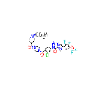 Cn1c(-c2ccc(OC(F)F)c(F)c2F)cnc1C(=O)Nc1ccc(C(=O)N2CCN(C(=O)C3CC[N+](C)(CC(=O)O)CC3)CC2)c(Cl)c1